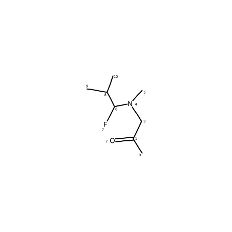 CC(=O)CN(C)C(F)C(C)C